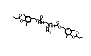 CCC(=O)Oc1c(C)cc(COC(=O)NCC(N)CNC(=O)OCc2cc(C)c(OC(=O)CC)c(C)c2)cc1C